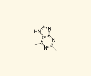 Cc1nc(C)c2[nH][c]nc2n1